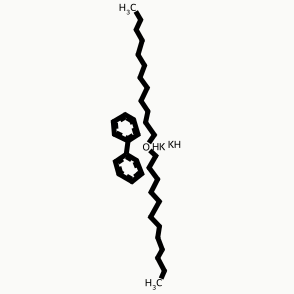 CCCCCCCCCCCCOCCCCCCCCCCCC.[KH].[KH].c1ccc(-c2ccccc2)cc1